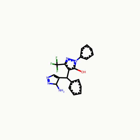 NC1N=NC=C1C(c1ccccc1)c1c(C(F)(F)F)nn(-c2ccccc2)c1O